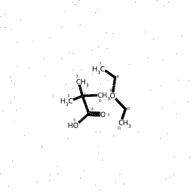 CC(C)(C)C(=O)O.CCOCC